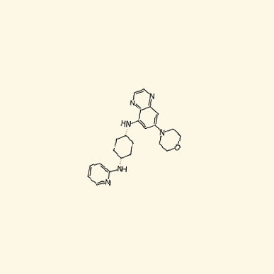 c1ccc(N[C@H]2CC[C@@H](Nc3cc(N4CCOCC4)cc4nccnc34)CC2)nc1